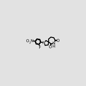 O=C1CCCC2(CCN(c3ccc([N+](=O)[O-])cc3F)C2)C(=O)N1